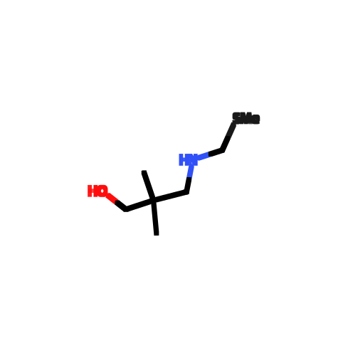 CSCNCC(C)(C)CO